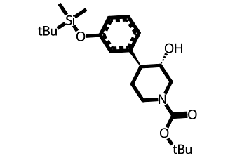 CC(C)(C)OC(=O)N1CC[C@@H](c2cccc(O[Si](C)(C)C(C)(C)C)c2)[C@H](O)C1